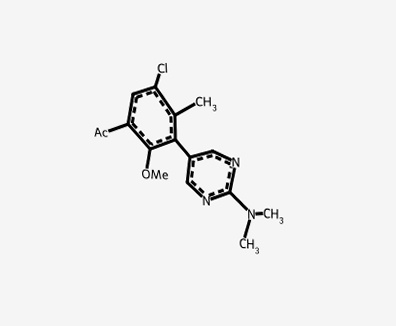 COc1c(C(C)=O)cc(Cl)c(C)c1-c1cnc(N(C)C)nc1